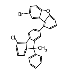 CC1(c2ccccc2)c2cc(-c3cccc4oc5ccc(Br)cc5c34)ccc2-c2c(Cl)cccc21